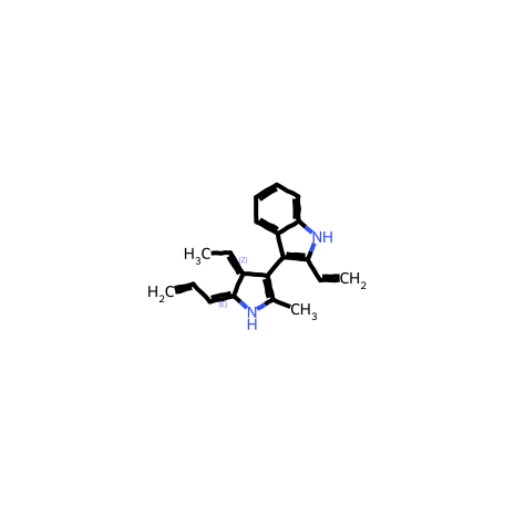 C=C/C=c1/[nH]c(C)c(-c2c(C=C)[nH]c3ccccc23)/c1=C/C